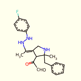 CC(NNc1ccc(F)cc1)=C1CNC(C)(Cc2ccccc2)C1C(=O)C=O